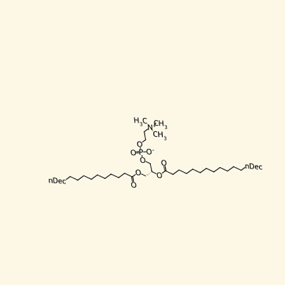 CCCCCCCCCCCCCCCCCCCCCC(=O)O[C@H](COC(=O)CCCCCCCCCCCCCCCCCCC)COP(=O)([O-])OCC[N+](C)(C)C